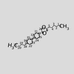 CCCCCC[C@H]1CO[C@H](c2ccc(-c3ccc(CCCC)cc3)cc2)CO1